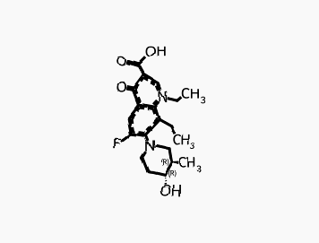 CCc1c(N2CC[C@@H](O)[C@H](C)C2)c(F)cc2c(=O)c(C(=O)O)cn(CC)c12